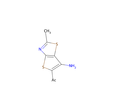 CC(=O)c1sc2nc(C)sc2c1N